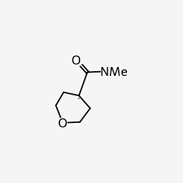 CNC(=O)[C]1CCOCC1